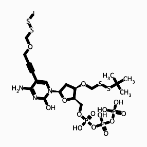 CC(C)(C)SSCO[C@@H]1C[C@H](N2C=C(C#CCOCSSI)C(N)=NC2O)O[C@@H]1COP(=O)(O)OP(=O)(O)OP(=O)(O)O